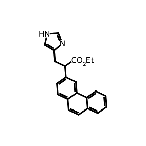 CCOC(=O)C(Cc1c[nH]cn1)c1ccc2ccc3ccccc3c2c1